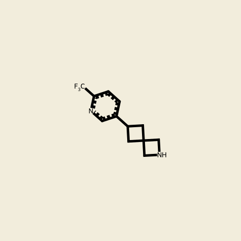 FC(F)(F)c1ccc(C2CC3(CNC3)C2)cn1